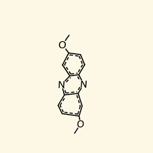 COc1ccc2nc3cc(OC)ccc3nc2c1